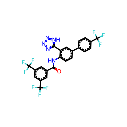 O=C(Nc1ccc(-c2ccc(C(F)(F)F)cc2)cc1-c1nnn[nH]1)c1cc(C(F)(F)F)cc(C(F)(F)F)c1